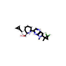 Cn1c(C2(C)CC2(F)F)cc2ncc(C3=N[C@@H](CO)[C@H](CC4CC4)CCC3)nc21